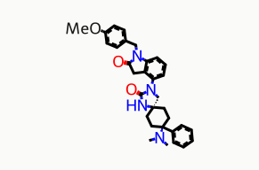 COc1ccc(CN2C(=O)Cc3c2cccc3N2C[C@]3(CC[C@](c4ccccc4)(N(C)C)CC3)NC2=O)cc1